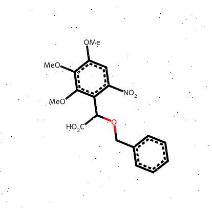 COc1cc([N+](=O)[O-])c(C(OCc2ccccc2)C(=O)O)c(OC)c1OC